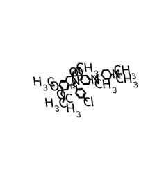 COc1cc2c(cc1OC(C)C)[C@H](c1ccc(Cl)cc1)N(c1ccc(N(C)C[C@H]3CC[C@H](N(C)C)CC3)cc1OC)C(=O)C2